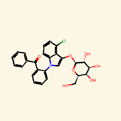 O=C(c1ccccc1)c1ccccc1-n1cc(O[C@@H]2O[C@H](CO)[C@H](O)[C@H](O)[C@H]2O)c2c(Cl)cccc21